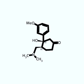 COc1cccc([C@]2(O)CC(=O)CC[C@H]2CN(C)C)c1